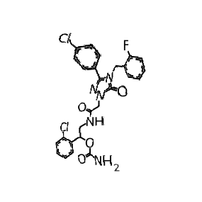 NC(=O)OC(CNC(=O)Cn1nc(-c2ccc(Cl)cc2)n(Cc2ccccc2F)c1=O)c1ccccc1Cl